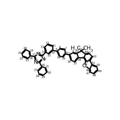 CC1(C)c2cc(-c3ccc(-c4cccc(-c5nc(-c6ccccc6)nc(-c6ccccc6)n5)c4)cc3)ccc2-c2c1ccc1c2oc2ccccc21